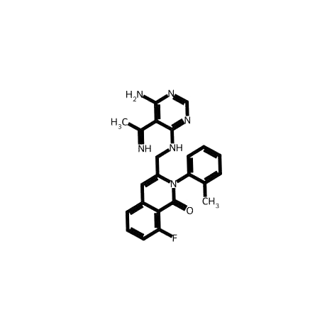 CC(=N)c1c(N)ncnc1NCc1cc2cccc(F)c2c(=O)n1-c1ccccc1C